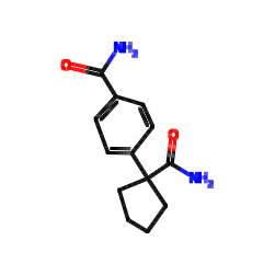 NC(=O)c1ccc(C2(C(N)=O)CCCC2)cc1